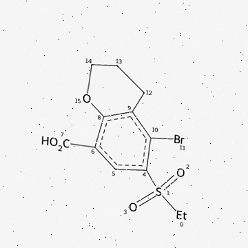 CCS(=O)(=O)c1cc(C(=O)O)c2c(c1Br)CCCO2